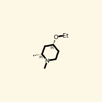 CCO[C@@H]1CCN(C)[C@H](C)C1